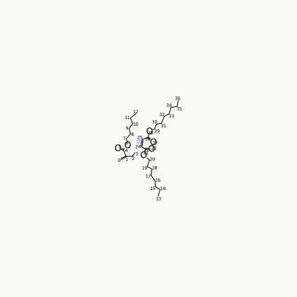 C=C(CC)C(=O)OCCCCCC.CCCCCCCCOC(=O)/C=C\C(=O)OCCCCCCCC